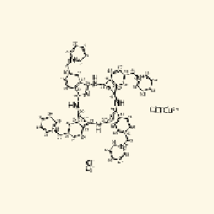 [Cl-].[Cl-].[Cl-].[Cl-].[Cu+2].c1cc[n+](Cc2ccc3c(c2)C2=NC3Nc3[n-]c(c4ccc(C[n+]5ccccc5)cc34)NC3N=C(NC4[N-]C(N2)c2ccc(C[n+]5ccccc5)cc24)c2ccc(C[n+]4ccccc4)cc23)cc1